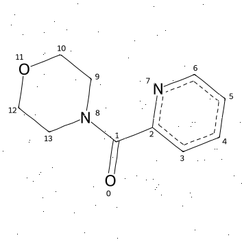 O=C(c1ccccn1)N1CCOCC1